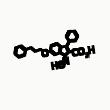 O=C(O)C1=C(c2ccccc2)c2ccc(OCCCc3ccccc3)cc2C1=NO